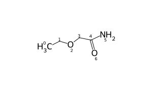 CCOCC(N)=O